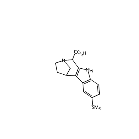 CSc1ccc2[nH]c3c(c2c1)C1CCN(C1)C3C(=O)O